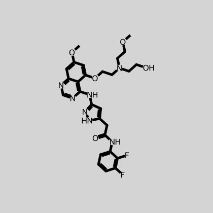 COCCN(CCO)CCOc1cc(OC)cc2ncnc(Nc3cc(CC(=O)Nc4cccc(F)c4F)[nH]n3)c12